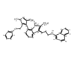 Cc1nn(C)c(COc2ccccc2)c1-c1cccc2c(CCCOc3cccc4ccccc34)c(C(=O)O)[nH]c12